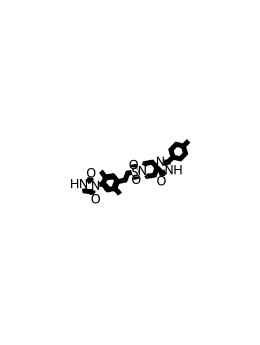 Cc1cc(N2C(=O)CNC2=O)c(C)cc1CCS(=O)(=O)N1CCC2(CC1)N=C(C1CCC(C)CC1)NC2=O